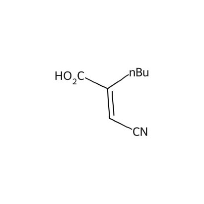 CCCC/C(=C\C#N)C(=O)O